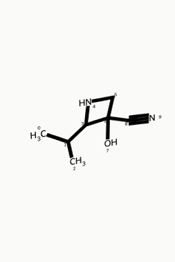 CC(C)C1NCC1(O)C#N